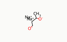 CC([O-])CC[O-].[Na+].[Na+]